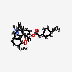 CC(=O)Oc1ccc2c3c1O[C@H]1[C@@H](OC(=O)Cc4ccc([N+](=O)[O-])cc4)C=C[C@H]4[C@@H](C2)N(C)CC[C@@]341